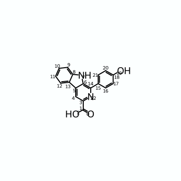 O=C(O)c1cc2c([nH]c3ccccc32)c(-c2ccc(O)cc2)n1